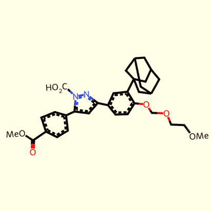 COCCOCOc1ccc(-c2cc(-c3ccc(C(=O)OC)cc3)n(C(=O)O)n2)cc1C12CC3CC(CC(C3)C1)C2